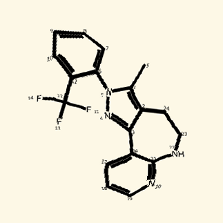 Cc1c2c(nn1-c1ccccc1C(F)(F)F)-c1cccnc1NCC2